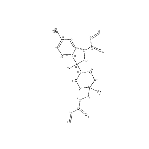 C=CC(=O)OCC1(CC)COC(C(C)(COC(=O)C=C)c2ccc(C(C)(C)C)cc2)OC1